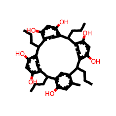 CCCC1c2cc(c(O)cc2C)C(CCC)c2cc(c(O)cc2O)C(CCC)c2cc(c(O)cc2O)C(CCC)c2cc1c(O)cc2O